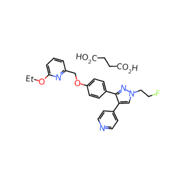 CCOc1cccc(COc2ccc(-c3nn(CCF)cc3-c3ccncc3)cc2)n1.O=C(O)CCC(=O)O